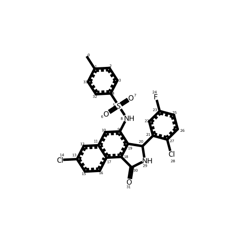 Cc1ccc(S(=O)(=O)Nc2cc3cc(Cl)ccc3c3c2C(c2cc(F)ccc2Cl)NC3=O)cc1